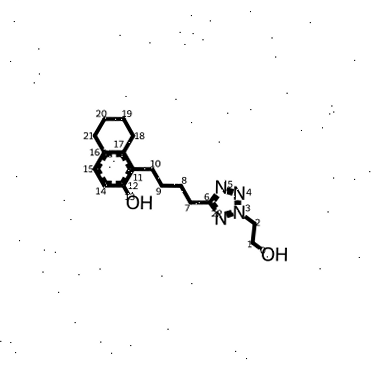 OCCn1nnc(CCCCc2c(O)ccc3c2CCCC3)n1